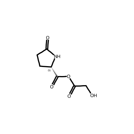 O=C1CC[C@@H](C(=O)OC(=O)CO)N1